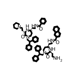 NCC[C@@H]1N[C@H](CCNC(=O)c2ccc3ccccc3c2)CCN(CC(c2ccccc2)c2ccccc2)C1=O.O=C(NCC[C@@H]1CCN(CC(c2ccccc2)c2ccccc2)C(=O)[C@H](CCN2CCCCC2)N1)c1ccccc1